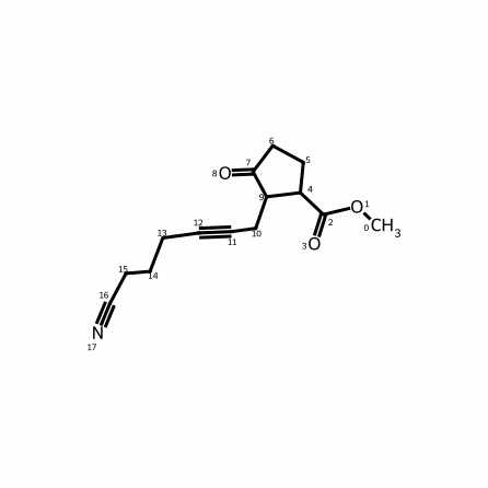 COC(=O)C1CCC(=O)C1CC#CCCCC#N